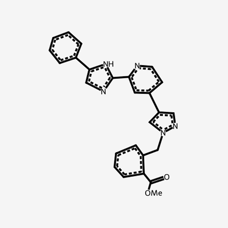 COC(=O)c1ccccc1Cn1cc(-c2ccnc(-c3ncc(-c4ccccc4)[nH]3)c2)cn1